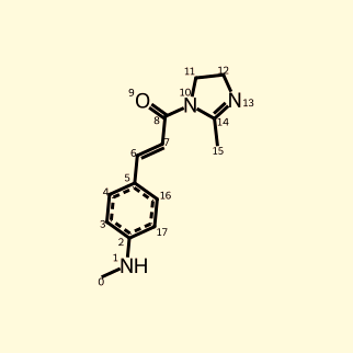 CNc1ccc(/C=C/C(=O)N2CCN=C2C)cc1